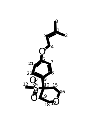 CC(C)=CCOc1ccc(C2(S(C)(=O)=O)CCOCC2)cc1